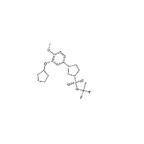 COc1ccc(C2CCC(S(=O)(=O)OC(F)(F)F)C2)cc1OC1CCCC1